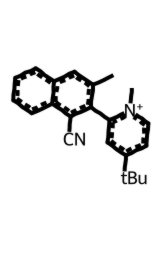 Cc1cc2ccccc2c(C#N)c1-c1cc(C(C)(C)C)cc[n+]1C